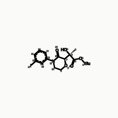 CC(C)(C)OC(=O)[C@](C)(O)[C@H]1OCCN(c2cccc(I)n2)C1=O